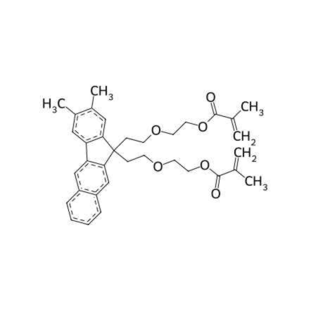 C=C(C)C(=O)OCCOCCC1(CCOCCOC(=O)C(=C)C)c2cc(C)c(C)cc2-c2cc3ccccc3cc21